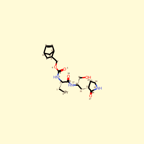 CC(C)C[C@H](NC(=O)OCC1CC2C=CC1C2)C(=O)N[C@H](CO)C[C@@H]1CCNC1=O